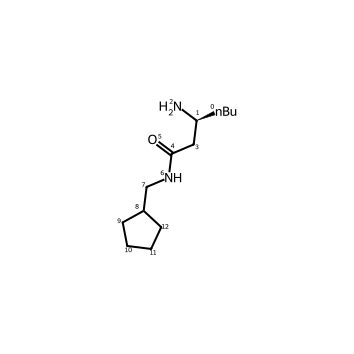 CCCC[C@H](N)CC(=O)NCC1CCCC1